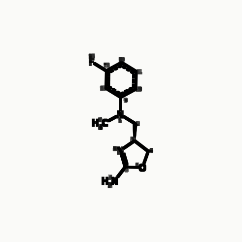 CN(C[C@H]1COC(N)=N1)c1cccc(F)c1